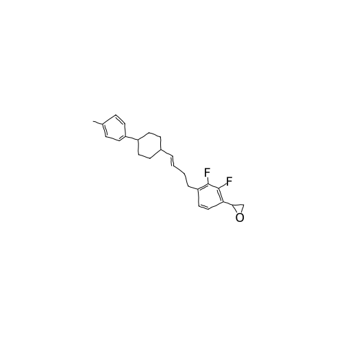 Cc1ccc(C2CCC(/C=C/CCc3ccc(C4CO4)c(F)c3F)CC2)cc1